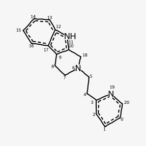 c1ccc(CCN2CCc3c([nH]c4ccccc34)C2)nc1